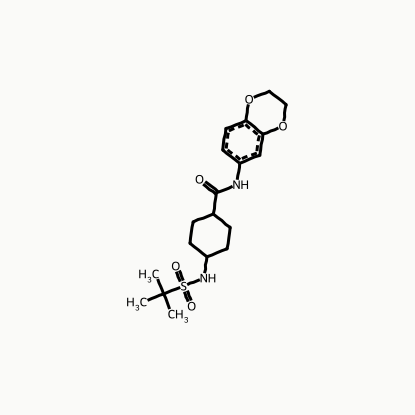 CC(C)(C)S(=O)(=O)NC1CCC(C(=O)Nc2ccc3c(c2)OCCO3)CC1